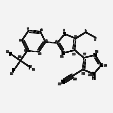 CCc1sc(-c2cccc(C(F)(F)F)c2)nc1-c1nn[nH]c1C#N